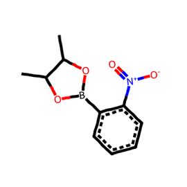 CC1OB(c2ccccc2[N+](=O)[O-])OC1C